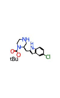 CC(C)(C)OC(=O)N1CCNCC1Cc1cc2cc(Cl)ccc2[nH]1